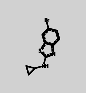 Brc1ccc2nc(NC3CC3)sc2c1